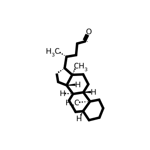 C[C@H](CC[C]=O)[C@H]1CC[C@H]2[C@@H]3CC[C@@H]4CCCC[C@]4(C)[C@H]3CC[C@]12C